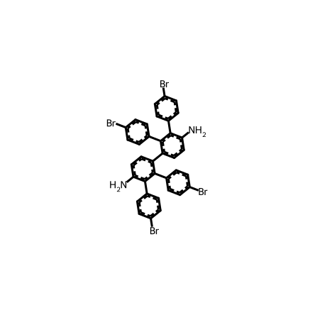 Nc1ccc(-c2ccc(N)c(-c3ccc(Br)cc3)c2-c2ccc(Br)cc2)c(-c2ccc(Br)cc2)c1-c1ccc(Br)cc1